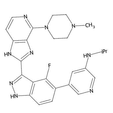 CC(C)Nc1cncc(-c2ccc3[nH]nc(-c4nc5c(N6CCN(C)CC6)nccc5[nH]4)c3c2F)c1